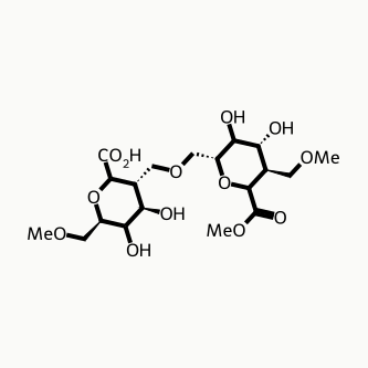 COC[C@H]1OC(C(=O)O)[C@H](COC[C@H]2OC(C(=O)OC)[C@H](COC)[C@@H](O)C2O)[C@@H](O)C1O